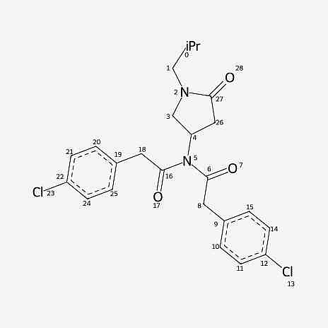 CC(C)CN1CC(N(C(=O)Cc2ccc(Cl)cc2)C(=O)Cc2ccc(Cl)cc2)CC1=O